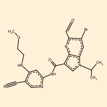 COCCNc1cc(NC(=O)c2cn(C(C)C)c3cc(Br)c(C=O)nc23)ncc1C#N